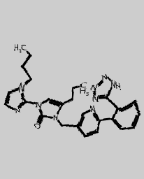 CCCCn1ccnc1-n1cc(CCC)n(Cc2ccc(-c3ccccc3-c3nnn[nH]3)nc2)c1=O